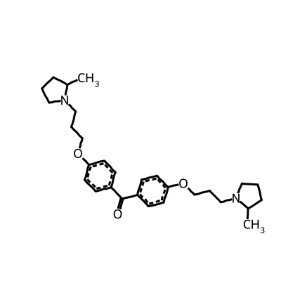 CC1CCCN1CCCOc1ccc(C(=O)c2ccc(OCCCN3CCCC3C)cc2)cc1